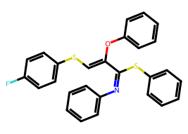 Fc1ccc(SC=C(Oc2ccccc2)/C(=N\c2ccccc2)Sc2ccccc2)cc1